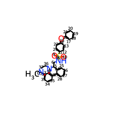 CN1CCN(C(CNS(=O)(=O)c2ccc(Oc3ccccc3)cc2)c2ccccc2-c2ccccc2)CC1